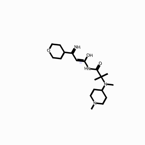 CN1CCC(N(C)C(C)(C)C(=O)N/C(O)=C/C(=N)C2CCOCC2)CC1